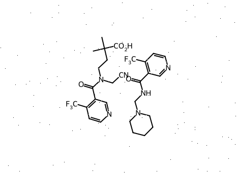 CC(C)(CCN(CC#N)C(=O)c1cnccc1C(F)(F)F)C(=O)O.O=C(NCN1CCCCC1)c1cnccc1C(F)(F)F